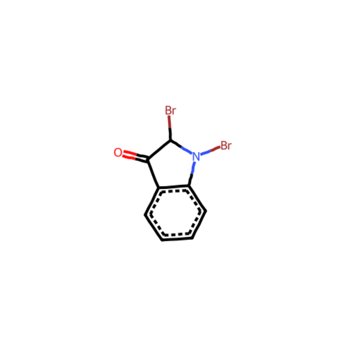 O=C1c2ccccc2N(Br)C1Br